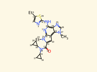 CCc1cnc(Nc2nc3c(cc(C(=O)N(C4CC4)C4CC4)n3CC)c3c2ncn3C)s1